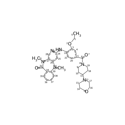 CCOc1cc(C(=O)N2CCC(N3CCOCC3)CC2)ccc1Nc1cc2c(cn1)N(C)C(=O)c1ccccc1N2C